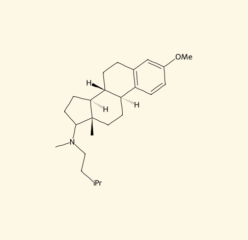 COc1ccc2c(c1)CC[C@@H]1[C@@H]2CC[C@]2(C)C(N(C)CCC(C)C)CC[C@@H]12